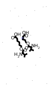 CC(C)[C@H](N)C(=O)OCC/C=C\C(=O)O.CC(C)[C@H](N)C(=O)OCCCCCC(=O)O